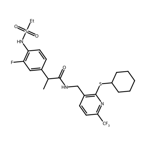 CCS(=O)(=O)Nc1ccc(C(C)C(=O)NCc2ccc(C(F)(F)F)nc2SC2CCCCC2)cc1F